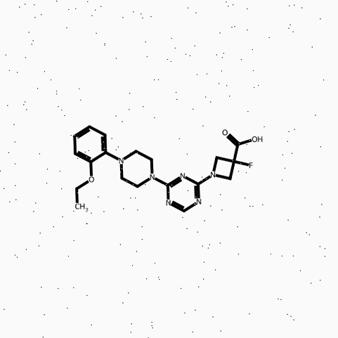 CCOc1ccccc1N1CCN(c2ncnc(N3CC(F)(C(=O)O)C3)n2)CC1